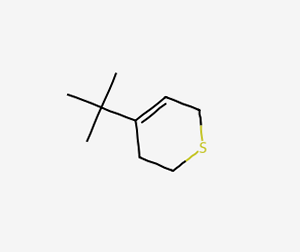 CC(C)(C)C1=CCSCC1